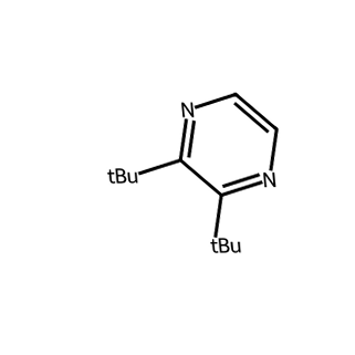 CC(C)(C)c1nccnc1C(C)(C)C